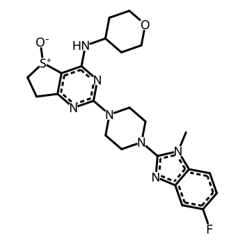 Cn1c(N2CCN(c3nc4c(c(NC5CCOCC5)n3)[S+]([O-])CC4)CC2)nc2cc(F)ccc21